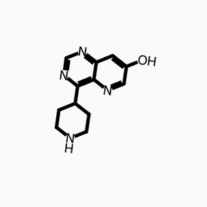 Oc1cnc2c(C3CCNCC3)ncnc2c1